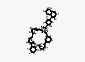 c1cc2cc(c1)-c1nc(-c3ccc(-c4cccc5ccccc45)cc3)nc(n1)-c1cccc(c1)-c1ccc3c4ccccc4n(c3c1)-c1cccc-2c1